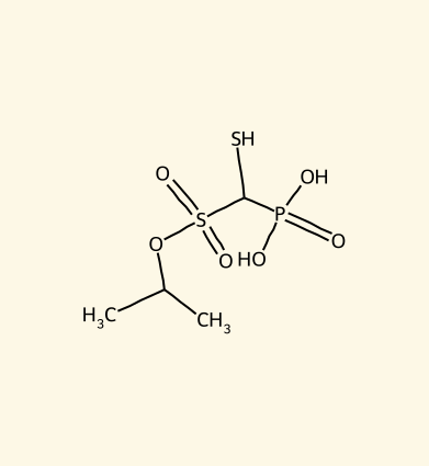 CC(C)OS(=O)(=O)C(S)P(=O)(O)O